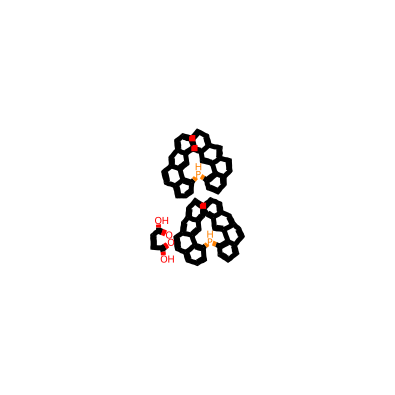 O=C(O)/C=C\C(=O)O.c1ccc2cc3c(ccc4cccc(Pc5cccc6ccc7cc8ccccc8cc7c56)c43)cc2c1.c1ccc2cc3c(ccc4cccc(Pc5cccc6ccc7cc8ccccc8cc7c56)c43)cc2c1